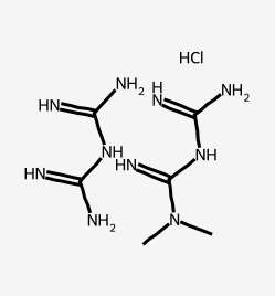 CN(C)C(=N)NC(=N)N.Cl.N=C(N)NC(=N)N